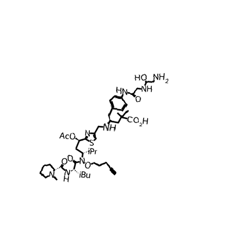 C#CCCCON(C(=O)[C@@H](NC(=O)[C@H]1CCCCN1C)[C@@H](C)CC)[C@H](C[C@@H](OC(C)=O)c1nc(CN[C@@H](Cc2ccc(NC(=O)CNC(O)CN)cc2)CC(C)(C)C(=O)O)cs1)C(C)C